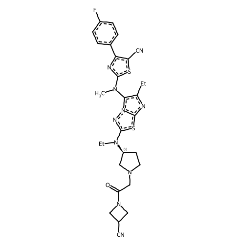 CCc1nc2sc(N(CC)[C@H]3CCN(CC(=O)N4CC(C#N)C4)C3)nn2c1N(C)c1nc(-c2ccc(F)cc2)c(C#N)s1